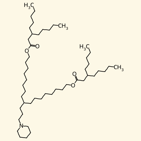 CCCCCC(CCCCC)CC(=O)OCCCCCCCCC(CCCCCCCCOC(=O)CC(CCCCC)CCCCC)CCCN1CCCCC1